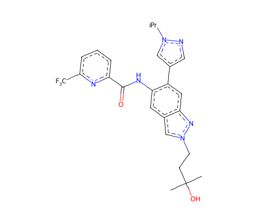 CC(C)n1cc(-c2cc3nn(CCC(C)(C)O)cc3cc2NC(=O)c2cccc(C(F)(F)F)n2)cn1